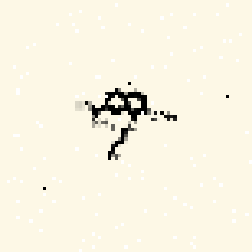 COc1ccc2ccc(C(=N)N)cc2c1OCCCBr